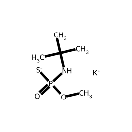 COP(=O)([S-])NC(C)(C)C.[K+]